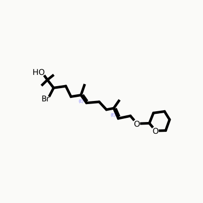 C/C(=C\COC1CCCCO1)CC/C=C(\C)CCC(Br)C(C)(C)O